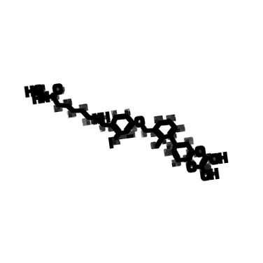 Cc1c(COc2ccc(CNCCCCCC(=O)NO)c(F)c2)cccc1-c1ccc2c(c1)OC(O)=C(O)O2